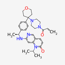 C=CC(=O)N1CCN(C2(c3ccc([C@H](C)Nc4cc5c(ccc(=O)n5C(C)C)cn4)cc3)CCOCC2)CC1